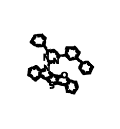 c1ccc(-c2cccc(-c3cc(-c4ccccc4)nc(-n4c5ccccc5c5sc6c7ccccc7oc6c54)n3)c2)cc1